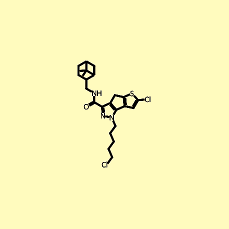 CC1(C)C2CCC(CNC(=O)c3nn(CCCCCCl)c4c3Cc3sc(Cl)cc3-4)C1C2